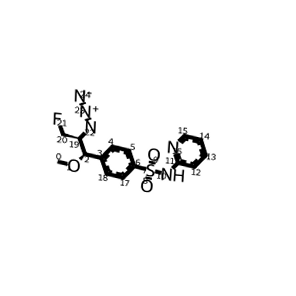 CO[C@H](c1ccc(S(=O)(=O)Nc2ccccn2)cc1)[C@@H](CF)N=[N+]=[N-]